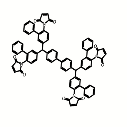 O=C1C=CC(=O)N1c1ccc(C(c2ccc(-c3ccc(C(c4ccc(N5C(=O)C=CC5=O)c(-c5ccccc5)c4)c4ccc(N5C(=O)C=CC5=O)c(-c5ccccc5)c4)cc3)cc2)c2ccc(N3C(=O)C=CC3=O)c(-c3ccccc3)c2)cc1-c1ccccc1